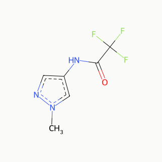 Cn1cc(NC(=O)C(F)(F)F)cn1